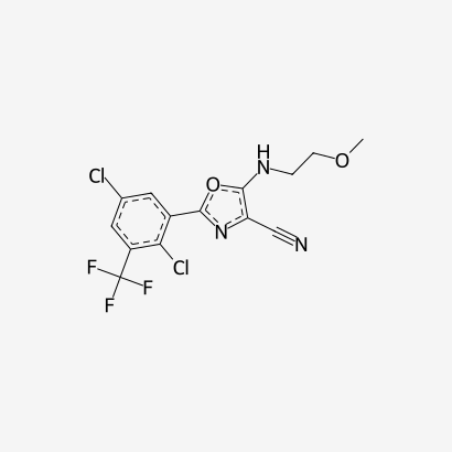 COCCNc1oc(-c2cc(Cl)cc(C(F)(F)F)c2Cl)nc1C#N